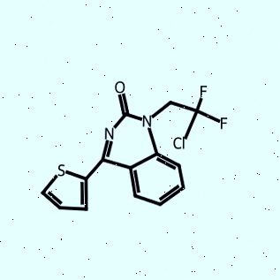 O=c1nc(-c2cccs2)c2ccccc2n1CC(F)(F)Cl